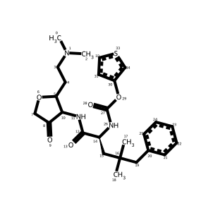 CN(C)CCC1OCC(=O)C1NC(=O)[C@H](CC(C)(C)Cc1ccccc1)NC(=O)Oc1ccsc1